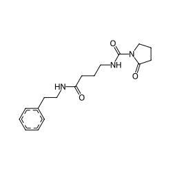 O=C(CCCNC(=O)N1CCCC1=O)NCCc1ccccc1